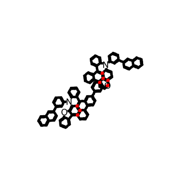 c1cc(-c2ccc3ccccc3c2)cc(N(c2ccc3oc4cc(-c5ccc6c(c5)c(-c5ccccc5N(c5cccc(-c7ccc8ccccc8c7)c5)c5cccc7c5oc5ccccc57)cc5ccccc56)ccc4c3c2)c2ccccc2-c2cc3ccccc3c3ccccc23)c1